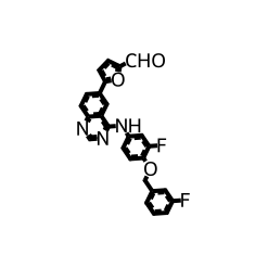 O=Cc1ccc(-c2ccc3ncnc(Nc4ccc(OCc5cccc(F)c5)c(F)c4)c3c2)o1